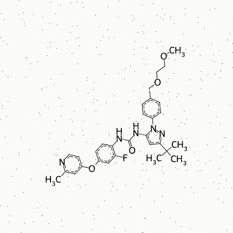 COCCOCc1ccc(-n2nc(C(C)(C)C)cc2NC(=O)Nc2ccc(Oc3ccnc(C)c3)cc2F)cc1